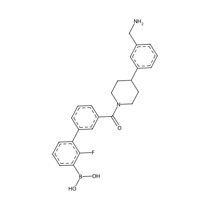 NCc1cccc(C2CCN(C(=O)c3cccc(-c4cccc(B(O)O)c4F)c3)CC2)c1